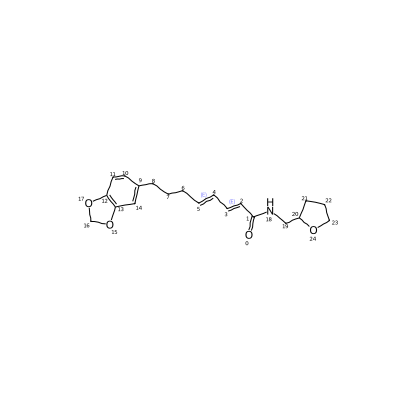 O=C(/C=C/C=C/CCCc1ccc2c(c1)OCO2)NCC1CCCO1